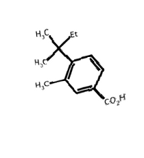 CCC(C)(C)c1ccc(C(=O)O)cc1C